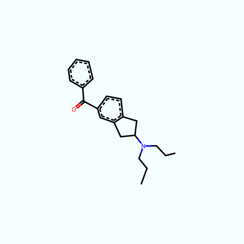 CCCN(CCC)C1Cc2ccc(C(=O)c3ccccc3)cc2C1